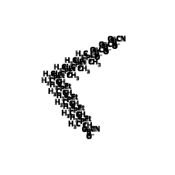 CC[P+](C)(C)C.CC[P+](C)(C)C.CC[P+](C)(C)C.CC[P+](C)(C)C.CC[P+](C)(C)C.CC[P+](C)(C)C.CC[P+](C)(C)C.CC[P+](C)(C)C.N#CB([O-])[O-].N#CB([O-])[O-].N#CB([O-])[O-].N#CB([O-])[O-]